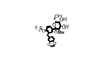 CO[C@@]1(c2ccc(OC(F)(F)F)c(Cc3ccc4c(c3)OCCO4)c2)O[C@H](CO)[C@@H](O)[C@H](O)[C@H]1O